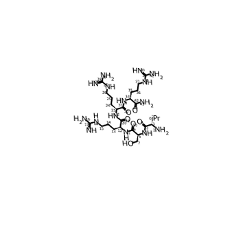 CC(C)[C@H](N)C(=O)N[C@@H](CO)C(=O)N[C@@H](CCCNC(=N)N)C(=O)N[C@@H](CCCNC(=N)N)C(=O)N[C@@H](CCCNC(=N)N)C(N)=O